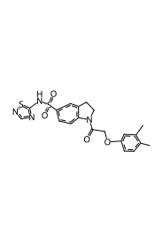 Cc1ccc(OCC(=O)N2CCc3cc(S(=O)(=O)Nc4ncns4)ccc32)cc1C